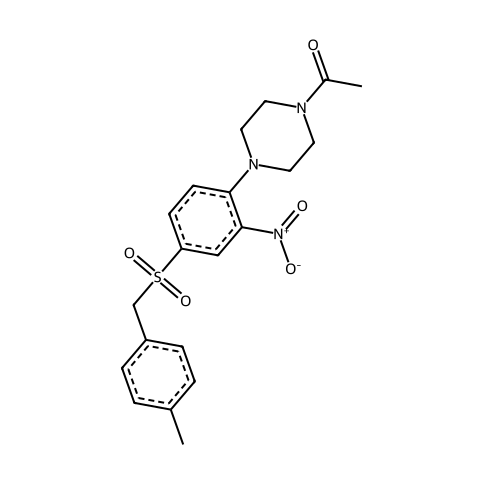 CC(=O)N1CCN(c2ccc(S(=O)(=O)Cc3ccc(C)cc3)cc2[N+](=O)[O-])CC1